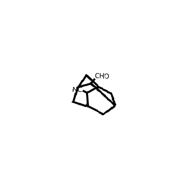 N#CC1C2CC3CC1CC(C2)C3C=O